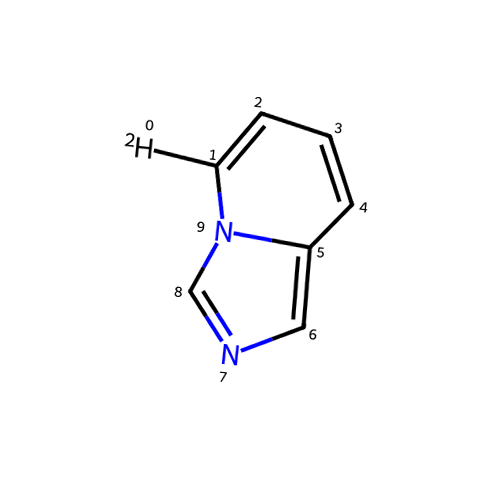 [2H]c1cccc2cncn12